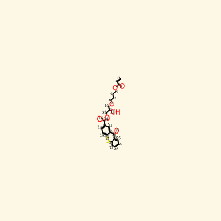 C=CC(=O)OCCCCOCC(O)COC(=O)c1ccc2sc3ccccc3c(=O)c2c1